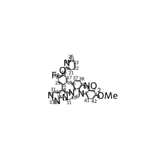 COc1ccc(N(C)c2c(N3CCn4c3c(-c3ccc(Oc5cccc(C)n5)c(F)c3)c3cncnc34)cccc2[N+](=O)[O-])cc1